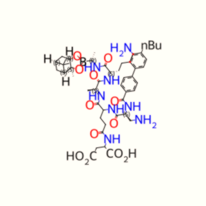 CCCCc1ccc(-c2ccc(C(=O)N[C@@H](CN)C(=O)NC(CCC(=O)NC(CC(=O)O)C(=O)O)C(=O)N[C@@H](C)C(=O)N[C@@H](CCCCN)C(=O)N[C@@H](C)B3O[C@@H]4C[C@@H]5C[C@@H](C5(C)C)[C@]4(C)O3)cc2)cc1